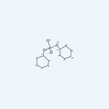 [O]P(=O)(OC1CCCCC1)OC1CCCCC1